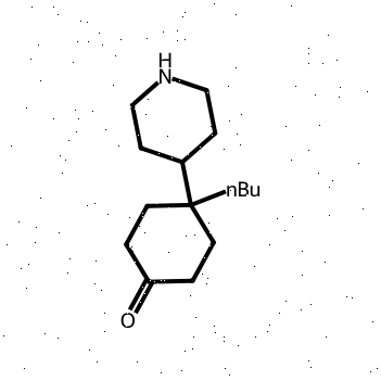 CCCCC1(C2CCNCC2)CCC(=O)CC1